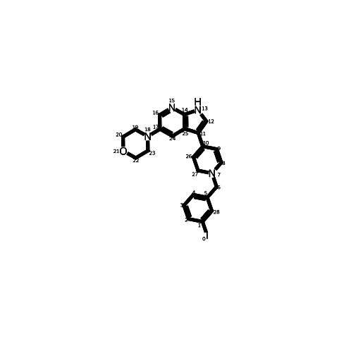 Ic1cccc(CN2C=CC(c3c[nH]c4ncc(N5CCOCC5)cc34)=CC2)c1